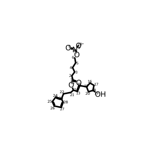 O=C(CCCCCO[N+](=O)[O-])OC(/C=C/C1CCC(O)C1)CCc1ccccc1